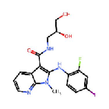 Cn1c(Nc2ccc(I)cc2F)c(C(=O)NC[C@H](O)CO)c2cccnc21